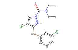 CCN(CC)C(=O)n1cc(Cl)c(Sc2cccc(Cl)c2)n1